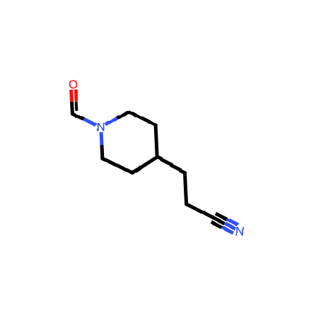 N#CCCC1CCN(C=O)CC1